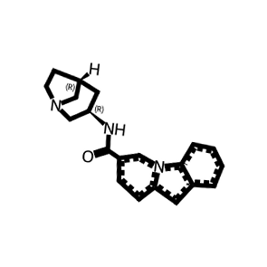 O=C(N[C@@H]1C[C@H]2CCN(C2)C1)c1ccc2cc3ccccc3n2c1